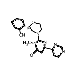 Cn1c(N2CCO[C@@H](c3ccccc3C#N)C2)nc(-c2ccncn2)cc1=O